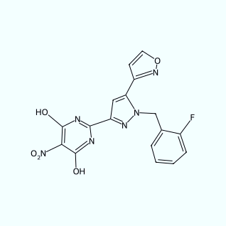 O=[N+]([O-])c1c(O)nc(-c2cc(-c3ccon3)n(Cc3ccccc3F)n2)nc1O